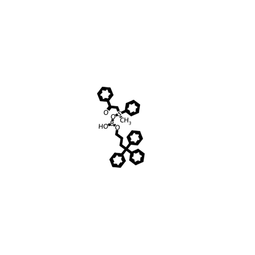 CS(CC(=O)c1ccccc1)(OB(O)OCCCC(c1ccccc1)(c1ccccc1)c1ccccc1)c1ccccc1